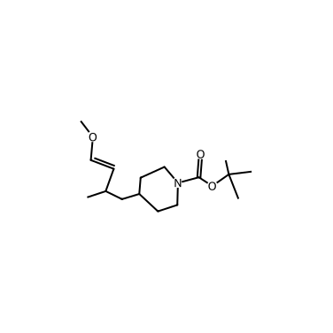 COC=CC(C)CC1CCN(C(=O)OC(C)(C)C)CC1